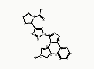 CC(=O)N1CCCC1c1cn(-c2nnc3n2C2=CN(Cl)CN2c2ccccc2-3)nn1